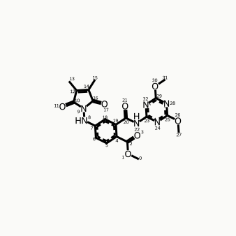 COC(=O)c1ccc(NN2C(=O)C(C)=C(C)C2=O)cc1C(=O)Nc1nc(OC)nc(OC)n1